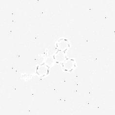 Bc1ccc2c(c1)C(C)(C)c1c-2c2ccccc2c2ccccc12